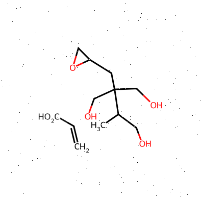 C=CC(=O)O.CC(CO)C(CO)(CO)CC1CO1